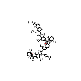 CCn1c(-c2nc3cc(C(=O)N4C[C@H]5CC[C@@H]4[C@@H]5N)cc(OC)c3n2[C@H]2C[C@H](OC)C2)cc2ccc(N[C@@H]3[C@@H]4CC[C@H]3N(C(=O)c3cc(OC)c5c(c3)nc(-c3cc6ccc(C(C)(C)O)nc6n3CC3CC3)n5C)C4)nc21